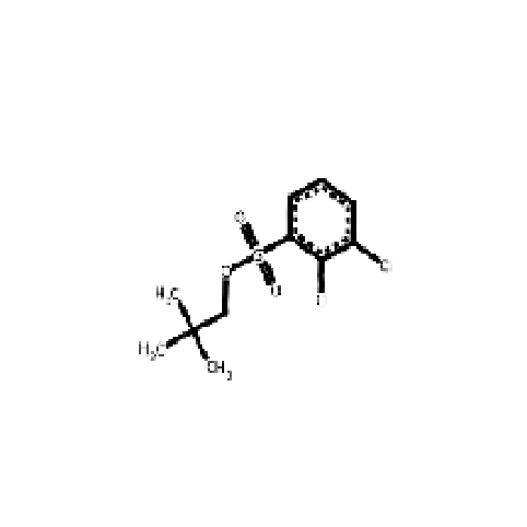 CC(C)(C)COS(=O)(=O)c1cccc(Cl)c1Cl